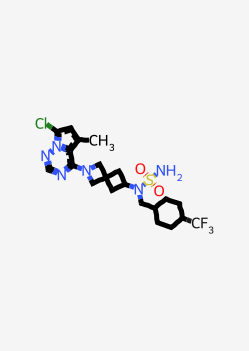 Cc1cc(Cl)n2ncnc(N3CC4(CC(N(CC5CCC(C(F)(F)F)CC5)S(N)(=O)=O)C4)C3)c12